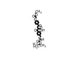 CCOC(=O)COc1ccc(C(=O)CC(C(=O)O)C(=O)c2ccc(C=NNC(=O)OC(C)(C)C)cc2)cc1